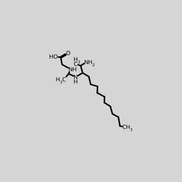 CCCCCCCCCCCC(NC(C)NCC(=O)O)C(C)N